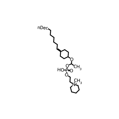 CCCCCCCCCCCCCCCC=C1CCC(OC(C)OP(=O)(O)OCC[N+]2(C)CCCCC2)CC1